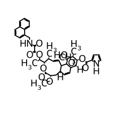 CO[C@H]1C[C@H]2C=CC3C4[C@H](O)[C@@H](C)[C@@H](OC(=O)c5ccc[nH]5)[C@@H]3O[C@]42/C(C)=C/[C@@H](C)[C@@H]([C@@H](C)OC(=O)C(=O)NCc2cccc3ccccc23)OC1=O